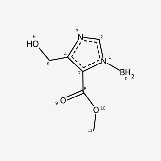 Bn1cnc(CO)c1C(=O)OC